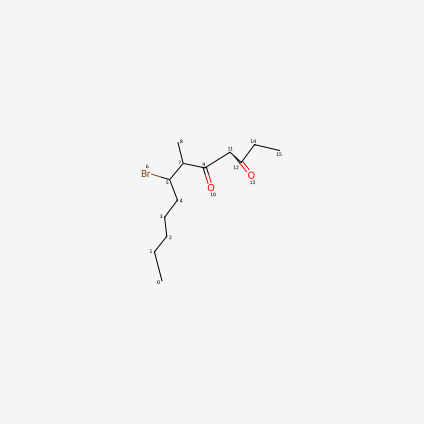 CCCCCC(Br)C(C)C(=O)CC(=O)CC